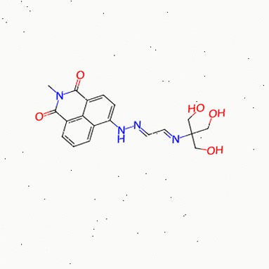 CN1C(=O)c2cccc3c(NN=CC=NC(CO)(CO)CO)ccc(c23)C1=O